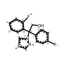 OCC(c1ccc(F)cc1)(c1ccccc1F)n1cncn1